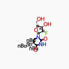 CCC[CH2][Sn]([CH2]CCC)([CH2]CCC)[c]1cn([C@@H]2O[C@H](CO)[C@@H](O)[C@@H]2F)c(=O)[nH]c1=O